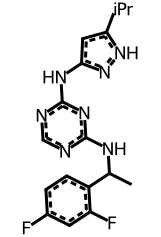 CC(C)c1cc(Nc2ncnc(NC(C)c3ccc(F)cc3F)n2)n[nH]1